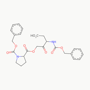 O=C(O)CC(NC(=O)OCc1ccccc1)C(=O)COC(=O)C1CCCN1C(=O)OCc1ccccc1